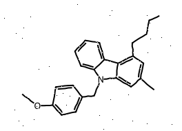 CCCCc1cc(C)cc2c1c1ccccc1n2Cc1ccc(OC)cc1